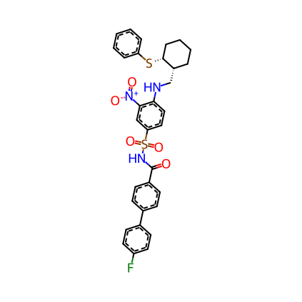 O=C(NS(=O)(=O)c1ccc(NC[C@H]2CCCC[C@H]2Sc2ccccc2)c([N+](=O)[O-])c1)c1ccc(-c2ccc(F)cc2)cc1